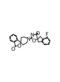 O=C1OC2(CCN(C3=NC(=O)C4(Cc5cccc(F)c5C4)O3)CC2)c2ccccc21